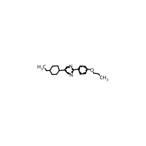 CCCOc1ccc(-c2ncc(C3CCC(CC)CC3)cn2)cc1